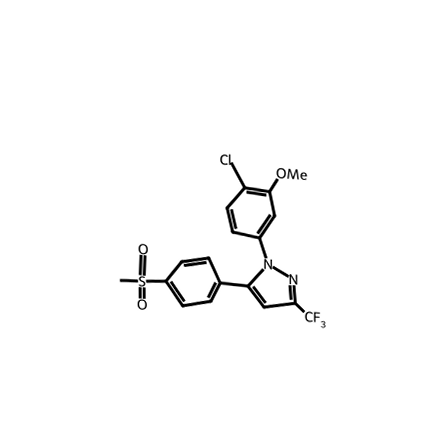 COc1cc(-n2nc(C(F)(F)F)cc2-c2ccc(S(C)(=O)=O)cc2)ccc1Cl